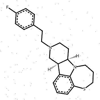 Fc1ccc(CCN2CC[C@@H]3[C@H](C2)c2cccc4c2N3CCCS4)cc1